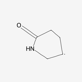 O=C1CC[CH]CN1